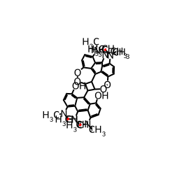 CN(C)c1ccc(O)c2c(C3C4OOc5ccc(N(C)C)c6c(N(C)C)c7c(N(C)C)ccc8c7c(c56)C4C3OO8)c3c(O)ccc(N(C)C)c3c(N(C)C)c12